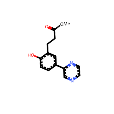 COC(=O)CCc1cc(-c2cnccn2)ccc1O